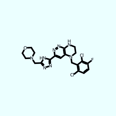 Fc1ccc(Cl)c(CN2CCNc3nnc(-c4nnc(CN5CCOCC5)[nH]4)cc32)c1Cl